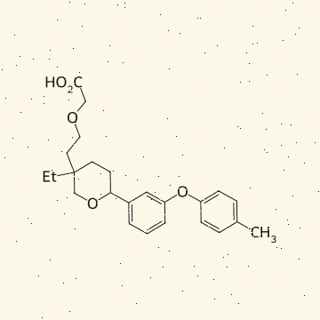 CCC1(CCOCC(=O)O)CCC(c2cccc(Oc3ccc(C)cc3)c2)OC1